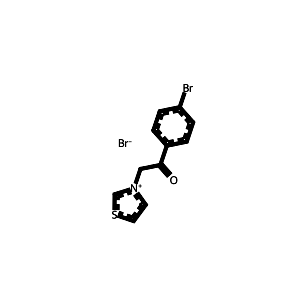 O=C(C[n+]1ccsc1)c1ccc(Br)cc1.[Br-]